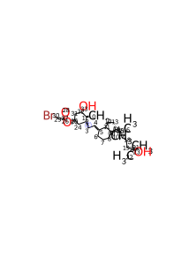 C=C1/C(=C\C=C2CCC[C@@]3(C)C2CC[C@@H]3[C@H](C)CCCC(C)(C)O)C[C@@H](OC(=O)CBr)CC1O